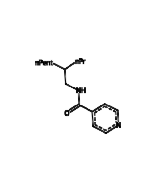 CCCCCC(CCC)CNC(=O)c1ccncc1